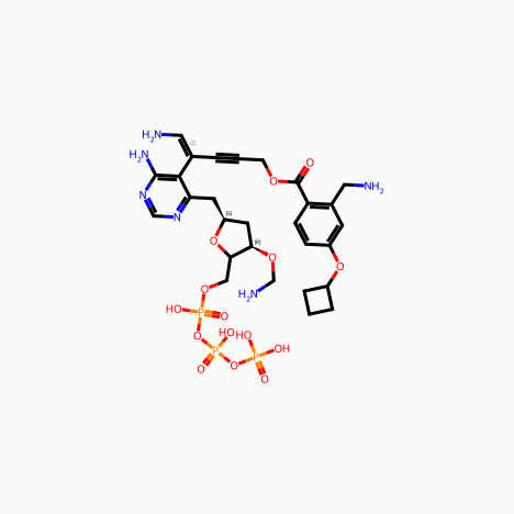 N/C=C(/C#CCOC(=O)c1ccc(OC2CCC2)cc1CN)c1c(N)ncnc1C[C@H]1C[C@@H](OCN)C(COP(=O)(O)OP(=O)(O)OP(=O)(O)O)O1